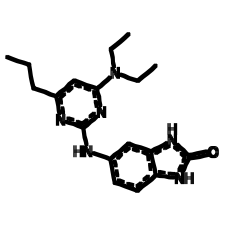 CCCc1cc(N(CC)CC)nc(Nc2ccc3[nH]c(=O)[nH]c3c2)n1